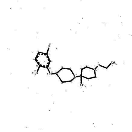 CCOC1CCC(C)(N2CCC(Nc3cc(F)ccc3N)CC2)CC1